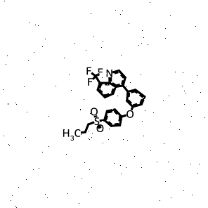 CCCS(=O)(=O)c1ccc(Oc2cccc(-c3ccnc4c(C(F)(F)F)cccc34)c2)cc1